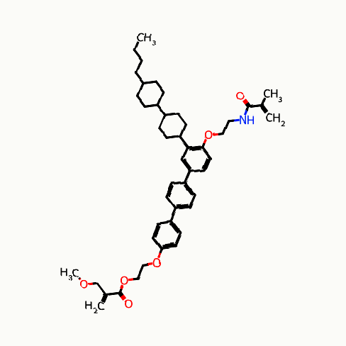 C=C(C)C(=O)NCCOc1ccc(-c2ccc(-c3ccc(OCCOC(=O)C(=C)COC)cc3)cc2)cc1C1CCC(C2CCC(CCCC)CC2)CC1